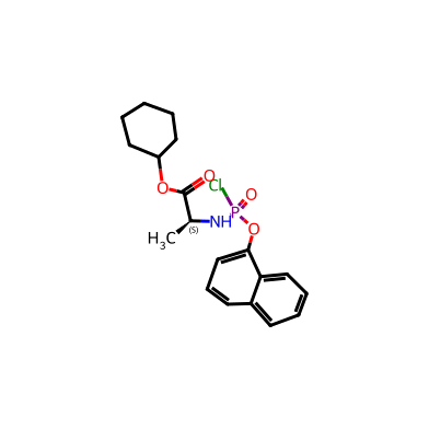 C[C@H](NP(=O)(Cl)Oc1cccc2ccccc12)C(=O)OC1CCCCC1